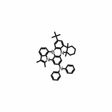 Cc1c(C)n2c3c(cccc13)B1c3cc(C(C)(C)C)cc4c3N(c3cc(N(c5ccccc5)c5ccccc5)cc-2c31)C1(C)CCCCC41C